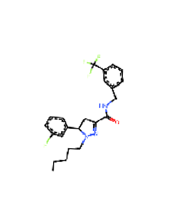 CCCCCN1N=C(C(=O)NCc2cccc(C(F)(F)F)c2)CC1c1cccc(F)c1